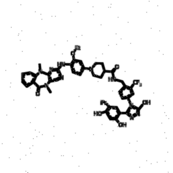 CCOc1cc(N2CCC(C(=O)NCc3ccc(-n4c(O)nnc4-c4cc(C(C)C)c(O)cc4O)cc3C(F)(F)F)CC2)ccc1Nc1ncc2c(n1)N(C)c1ccccc1C(=O)N2C